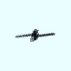 CCCCCCCCCCCCCCCCCCCCN1C(=O)C2=C(c3ccc(Br)s3)N(CCCCCCCCCCCCCCCCCCCC)C(=O)C2=C1c1ccc(Br)s1